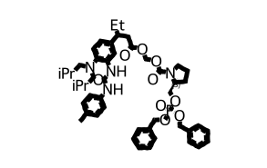 CCC(CC(=O)OCOC(=O)N1CCC[C@H]1COP(=O)(OCc1ccccc1)OCc1ccccc1)c1ccc(N(CC(C)C)CC(C)C)c(NC(=O)Nc2ccc(C)cc2)c1